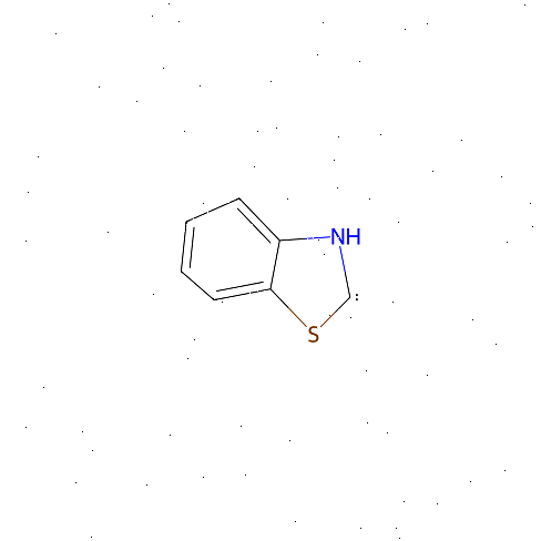 [C]1Nc2ccccc2S1